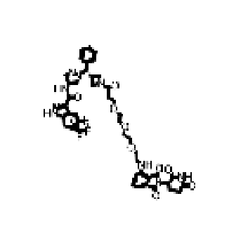 C[C@@]12Cc3[nH]nc(C(=O)Nc4cnn([C@H](c5ccccc5)C5CN(C(=O)CCOCCOCCOCCNc6cccc7c6C(=O)N(C6CCC(=O)NC6=O)C7=O)C5)c4)c3C[C@@H]1C2(F)F